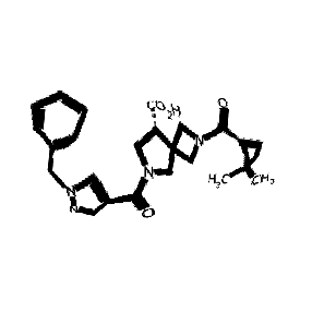 CC1(C)C[C@@H]1C(=O)N1CC2(CN(C(=O)c3cnn(Cc4ccccc4)c3)C[C@@H]2C(=O)O)C1